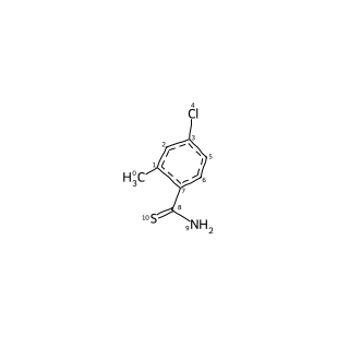 Cc1cc(Cl)ccc1C(N)=S